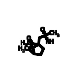 CC1(C)C2CCC1(CS(C)(=N)=O)C(=O)C2